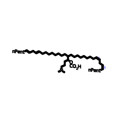 CCCCCC=CCC=CCCCCCCCCC(CCCCCCCC/C=C\C/C=C\CCCCC)C(CCCN(C)C)OC(=O)O